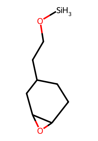 [SiH3]OCCC1CCC2OC2C1